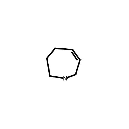 [C]1=CCCC[N]C1